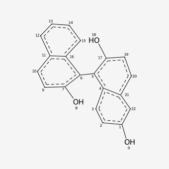 Oc1ccc2c(-c3c(O)ccc4ccccc34)c(O)ccc2c1